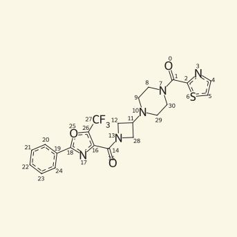 O=C(c1nccs1)N1CCN(C2CN(C(=O)c3nc(-c4ccccc4)oc3C(F)(F)F)C2)CC1